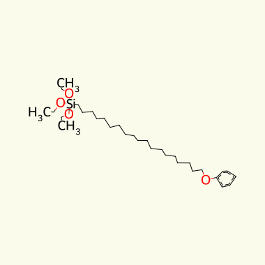 CCO[Si](CCCCCCCCCCCCCCCCCCCOc1ccccc1)(OCC)OCC